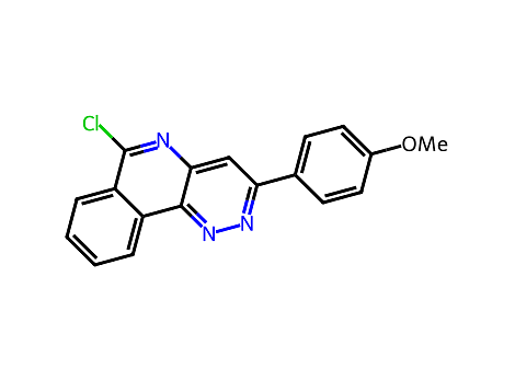 COc1ccc(-c2cc3nc(Cl)c4ccccc4c3nn2)cc1